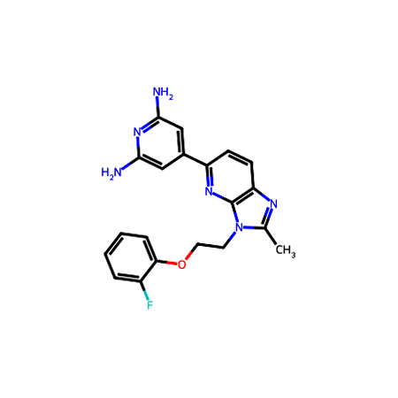 Cc1nc2ccc(-c3cc(N)nc(N)c3)nc2n1CCOc1ccccc1F